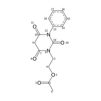 CC(=O)OCCN1C(=O)CC(=O)N(c2ccccc2)C1=O